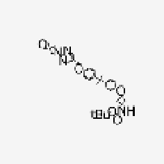 CC(C)(C)OC(=O)NC1CC(Oc2ccc(C(C)(C)c3ccc(OCc4cnc(N5CC6(COC6)C5)nc4)cc3)cc2)C1